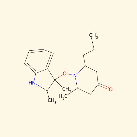 CCCC1CC(=O)CC(C)N1OC1(C)c2ccccc2NC1C